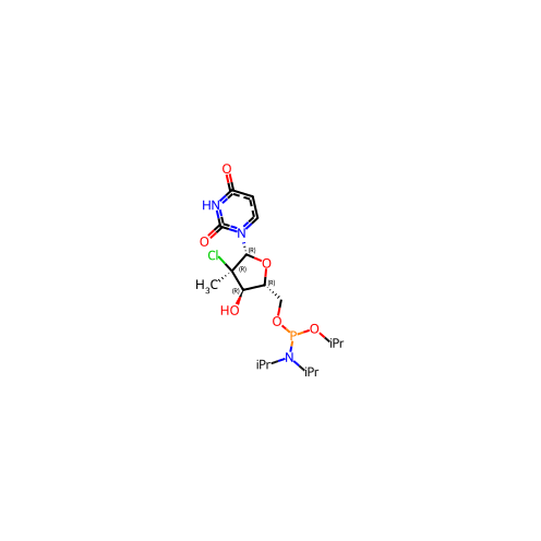 CC(C)OP(OC[C@H]1O[C@@H](n2ccc(=O)[nH]c2=O)[C@](C)(Cl)[C@@H]1O)N(C(C)C)C(C)C